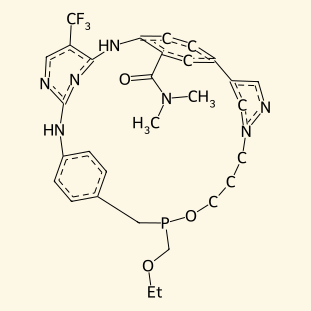 CCOCP1Cc2ccc(cc2)Nc2ncc(C(F)(F)F)c(n2)Nc2ccc(cc2C(=O)N(C)C)-c2cnn(c2)CCCO1